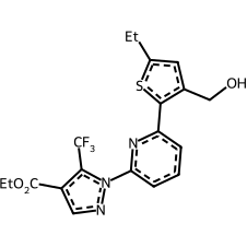 CCOC(=O)c1cnn(-c2cccc(-c3sc(CC)cc3CO)n2)c1C(F)(F)F